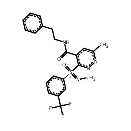 CN=[S@](=O)(c1cccc(C(F)(F)F)c1)c1nnc(C)cc1C(=O)NCCc1ccccc1